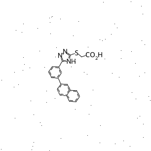 O=C(O)CSc1nnc(-c2cccc(-c3ccc4ccccc4c3)c2)[nH]1